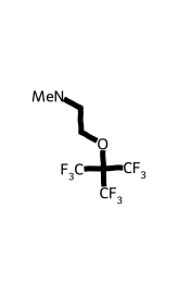 CNCCOC(C(F)(F)F)(C(F)(F)F)C(F)(F)F